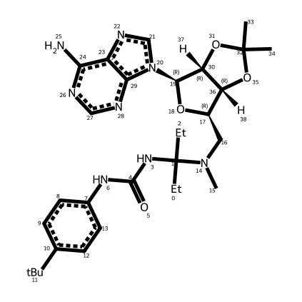 CCC(CC)(NC(=O)Nc1ccc(C(C)(C)C)cc1)N(C)C[C@H]1O[C@@H](n2cnc3c(N)ncnc32)[C@@H]2OC(C)(C)O[C@@H]21